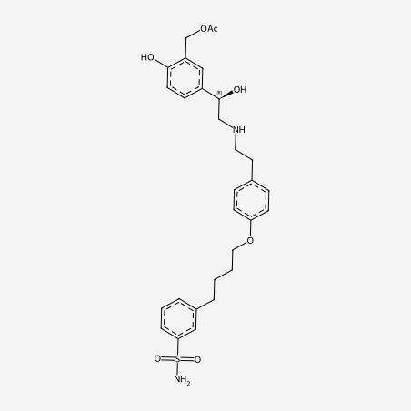 CC(=O)OCc1cc([C@@H](O)CNCCc2ccc(OCCCCc3cccc(S(N)(=O)=O)c3)cc2)ccc1O